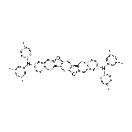 Cc1ccc(N(c2cc(C)cc(C)c2)c2ccc3cc4c(cc3c2)oc2cc3c(cc24)oc2cc4cc(N(c5ccc(C)cc5)c5cc(C)cc(C)c5)ccc4cc23)cc1